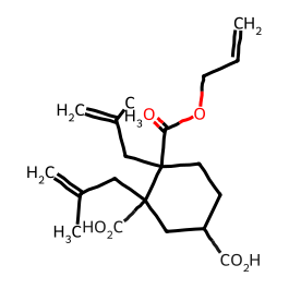 C=CCOC(=O)C1(CC(=C)C)CCC(C(=O)O)CC1(CC(=C)C)C(=O)O